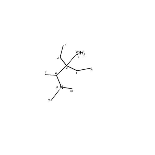 CCC([SiH3])(CC)C(C)N(C)C